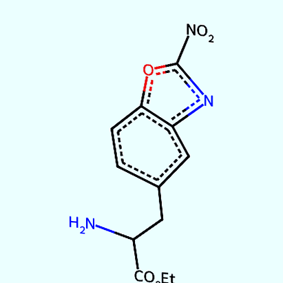 CCOC(=O)C(N)Cc1ccc2oc([N+](=O)[O-])nc2c1